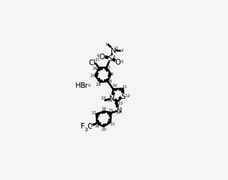 Br.CN(C)S(=O)(=O)c1cc(-c2cs/c(=N/c3ccc(C(F)(F)F)cc3)n2C)ccc1Cl